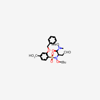 CON(C)C(=O)C(CC=O)N(OC(C)(C)C)S(=O)(=O)c1ccc(C(=O)O)cc1OCc1ccccc1